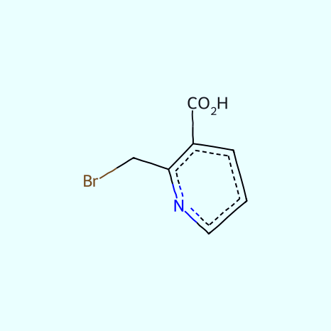 O=C(O)c1cccnc1CBr